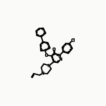 C=CCN1CCN(c2cnn(-c3ccc(Cl)cc3)c(=O)c2Oc2ccc(-c3ccccc3)cc2)CC1